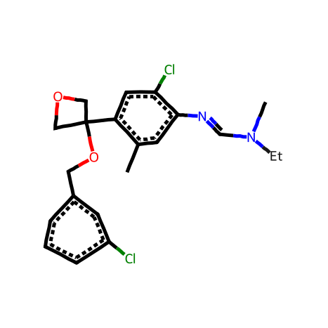 CCN(C)C=Nc1cc(C)c(C2(OCc3cccc(Cl)c3)COC2)cc1Cl